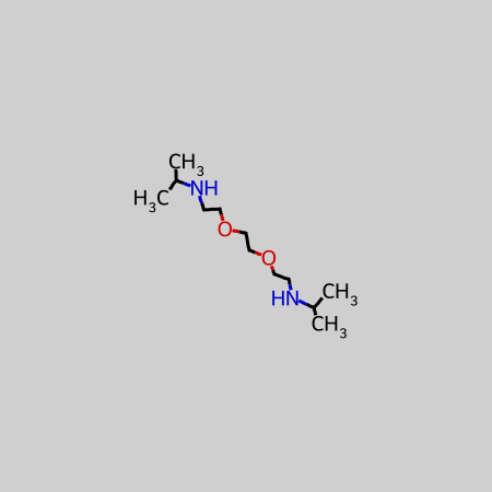 CC(C)NCCOCCOCCNC(C)C